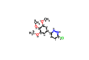 COc1cc(-c2ccc(Cl)nn2)cc(OC)c1OC